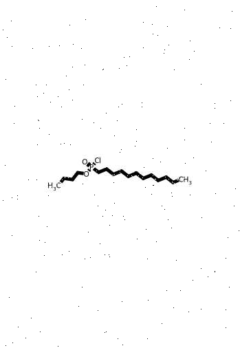 CCCCCCCCCCCCP(=O)(Cl)OCCCC